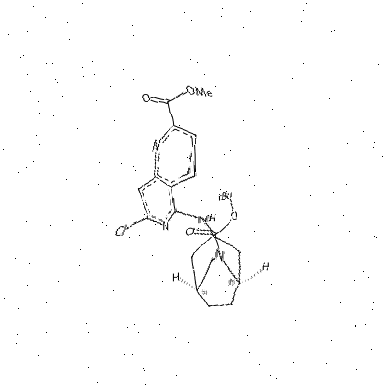 COC(=O)c1ccc2c(NC3C[C@H]4CC[C@@H](C3)N4C(=O)OC(C)(C)C)nc(Cl)cc2n1